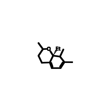 CC[C@@]12OC(C)CCC1=CC=C(C)C2C